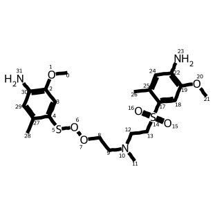 COc1cc(SOOCCN(C)CCS(=O)(=O)c2cc(OC)c(N)cc2C)c(C)cc1N